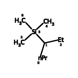 CCCC(CC)[Si](C)(C)C